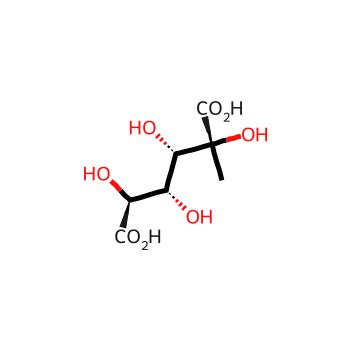 C[C@](O)(C(=O)O)[C@@H](O)[C@H](O)[C@H](O)C(=O)O